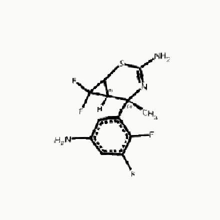 C[C@]1(c2cc(N)cc(F)c2F)N=C(N)SC2[C@H]1C2(F)F